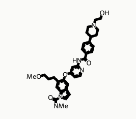 CNC(=O)n1ccc2cc(Oc3ccnc(NC(=O)c4ccc(C5CCN(CCO)CC5)cc4)c3)c(CCCOC)cc21